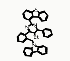 CCC1C(c2ccccc2Cn2c3ccccc3c3ccccc32)=NC(c2cccc3sc4ccccc4c23)=NC1c1ccccc1